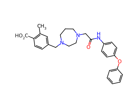 Cc1cc(CN2CCCN(CC(=O)Nc3ccc(Oc4ccccc4)cc3)CC2)ccc1C(=O)O